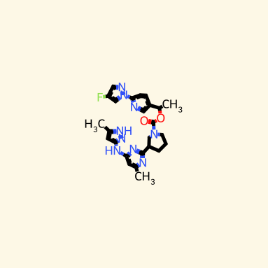 Cc1cc(Nc2cc(C)[nH]n2)nc(C2CCCN(C(=O)OC(C)c3ccc(-n4cc(F)cn4)nc3)C2)n1